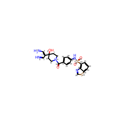 N=C/C(=C\N)C1(O)CCN(C(=O)c2ccc(NS(=O)(=O)c3cccc4scnc34)cc2)CC1